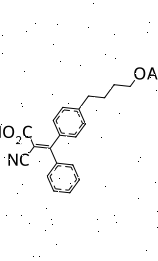 CC(=O)OCCCCc1ccc(C(=C(C#N)C(=O)O)c2ccccc2)cc1